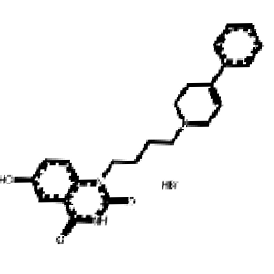 Br.O=c1[nH]c(=O)n(CCCCN2CC=C(c3ccccc3)CC2)c2ccc(O)cc12